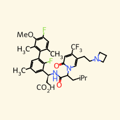 COc1c(F)cc(C)c(-c2cc(C)cc([C@H](CC(=O)O)NC(=O)C(CC(C)C)n3cc(CCN4CCC4)c(C(F)(F)F)cc3=O)c2F)c1C